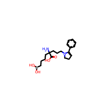 NC(CCCCB(O)O)(CCCN1CCC=C1c1ccccc1)C(=O)O